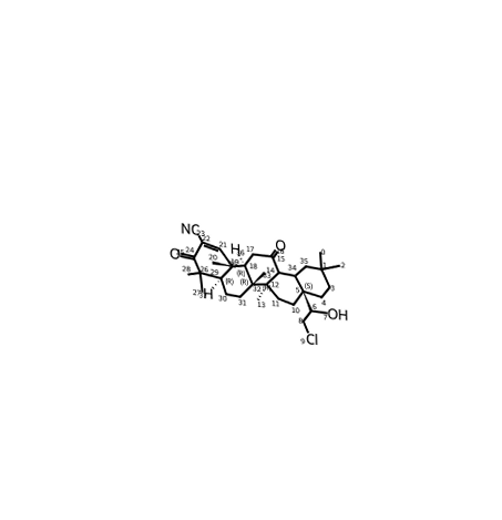 CC1(C)CC[C@]2(C(O)CCl)CC[C@]3(C)C(C(=O)C[C@@H]4[C@@]5(C)C=C(C#N)C(=O)C(C)(C)[C@@H]5CC[C@]43C)C2C1